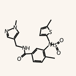 Cc1ccc(N(c2cc(C(=O)NCc3cnn(C)c3)ccc2C)[SH](=O)=O)s1